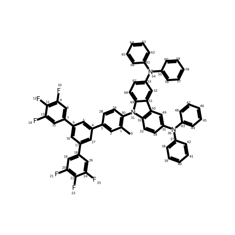 Cc1cc(-c2cc(-c3cc(F)c(F)c(F)c3)cc(-c3cc(F)c(F)c(F)c3)c2)ccc1-n1c2ccc(N(c3ccccc3)c3ccccc3)cc2c2cc(N(c3ccccc3)c3ccccc3)ccc21